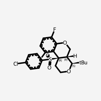 CC(C)(C)[C@H]1OCC[C@]2(S(=O)(=O)c3ccc(Cl)cc3)c3c(F)ccc(F)c3OC[C@H]12